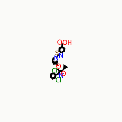 O=C(O)c1ccc2nc(N3CC4CC(OCc5c(-c6c(Cl)cccc6Cl)noc5C5CC5)C3C4)sc2c1